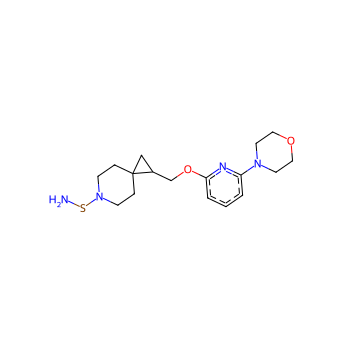 NSN1CCC2(CC1)CC2COc1cccc(N2CCOCC2)n1